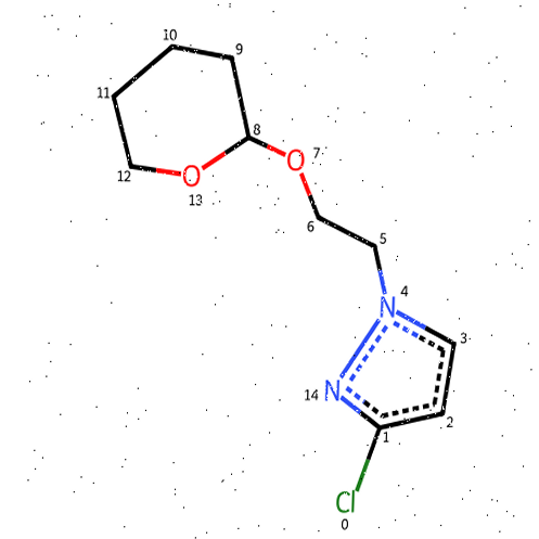 Clc1ccn(CCOC2CCCCO2)n1